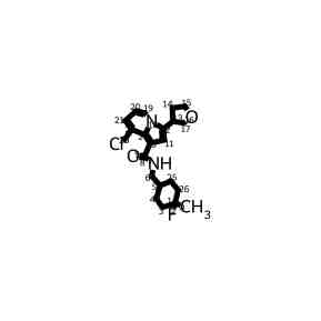 CC1(F)CCC(CNC(=O)c2cc(C3CCOC3)n3cccc(Cl)c23)CC1